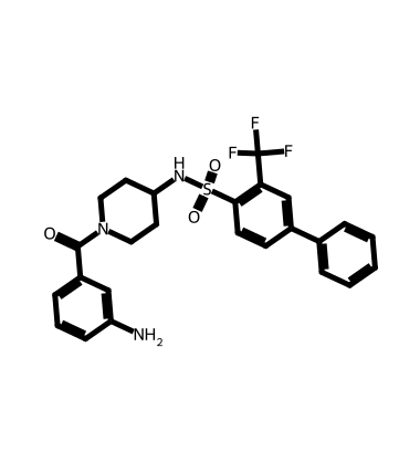 Nc1cccc(C(=O)N2CCC(NS(=O)(=O)c3ccc(-c4ccccc4)cc3C(F)(F)F)CC2)c1